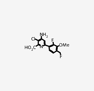 COc1c(CF)ccc(-c2cc(N)c(Cl)c(C(=O)O)n2)c1F